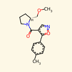 COC[C@H]1CCCN1C(=O)c1cnoc1-c1ccc(C)cc1